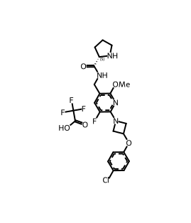 COc1nc(N2CC(Oc3ccc(Cl)cc3)C2)c(F)cc1CNC(=O)[C@@H]1CCCN1.O=C(O)C(F)(F)F